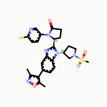 Cc1noc(C)c1-c1ccc2c(c1)nc([C@@H]1CCC(=O)N1c1ccc(F)nc1)n2[C@@H]1CCN(S(C)(=O)=O)C1